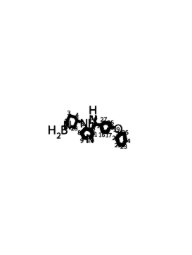 BN1CCCC(Nc2ccncc2C(=N)c2ccc(Oc3ccccc3)cc2)C1